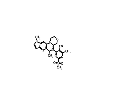 Cc1nc(S(C)(=O)=O)nc(NC(C)c2nc3ccn(C)c3cc2N2CCOCC2)c1C#N